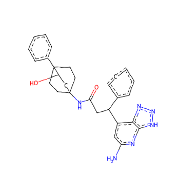 Nc1cc(C(CC(=O)NC23CCC(c4ccccc4)(CC2)C(O)C3)c2ccccc2)c2nn[nH]c2n1